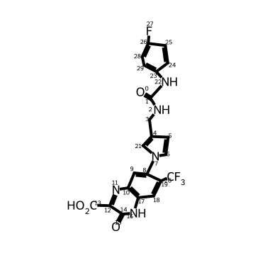 O=C(NCc1ccn(-c2cc3nc(C(=O)O)c(=O)[nH]c3cc2C(F)(F)F)c1)Nc1ccc(F)cc1